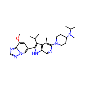 COc1cc(-c2[nH]c3cnc(N4CCC(N(C)C(C)C)CC4)c(C)c3c2C(C)C)cn2ncnc12